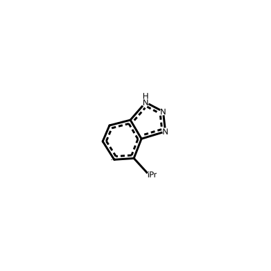 CC(C)c1[c]ccc2[nH]nnc12